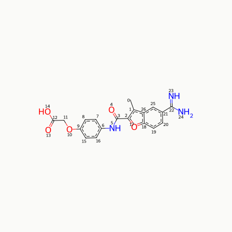 Cc1c(C(=O)Nc2ccc(OCC(=O)O)cc2)oc2ccc(C(=N)N)cc12